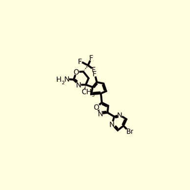 C[C@@]1(c2cc(-c3cc(-c4ncc(Br)cn4)no3)ccc2F)C[C@@H](C(F)(F)F)OC(N)=N1